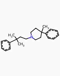 CC(C)(CCN1CCC(C)(c2ccccc2)CC1)c1ccccc1